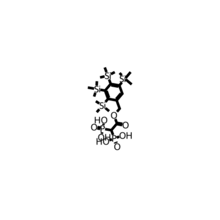 C[Si](C)(C)c1cc(COC(=O)C(P(=O)(O)O)P(=O)(O)O)c([Si](C)(C)C)c([Si](C)(C)C)c1[Si](C)(C)C